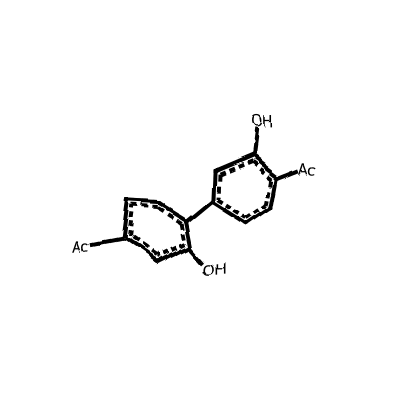 CC(=O)c1ccc(-c2ccc(C(C)=O)c(O)c2)c(O)c1